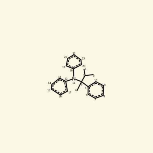 CC(C)C(C)(c1ccccc1)N(c1ccccc1)c1ccccc1